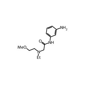 CCN(CCOC)CC(=O)Nc1cccc(N)c1